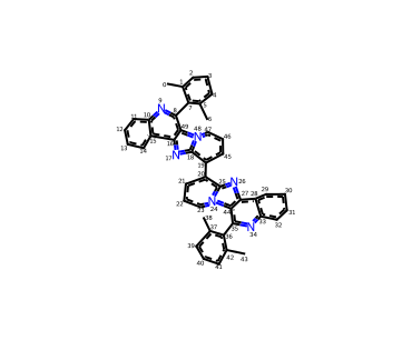 Cc1cccc(C)c1-c1nc2ccccc2c2nc3c(-c4cccn5c4nc4c6ccccc6nc(-c6c(C)cccc6C)c45)cccn3c12